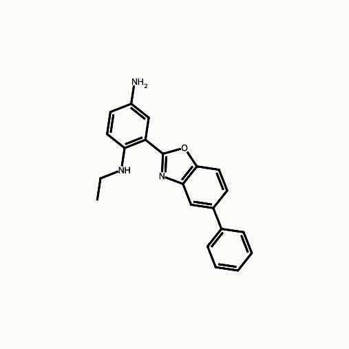 CCNc1ccc(N)cc1-c1nc2cc(-c3ccccc3)ccc2o1